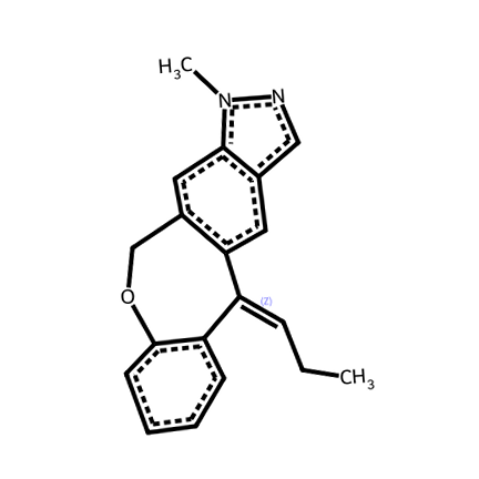 CC/C=C1/c2cc3cnn(C)c3cc2COc2ccccc21